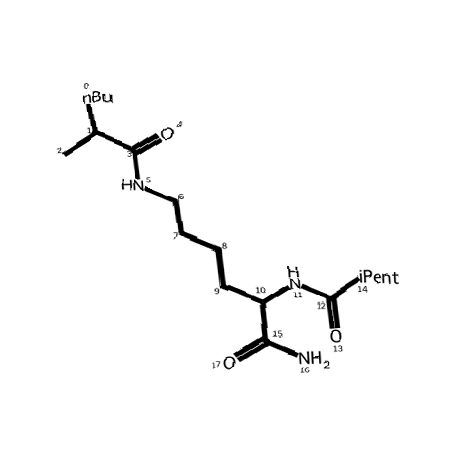 CCCCC(C)C(=O)NCCCCC(NC(=O)C(C)CCC)C(N)=O